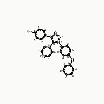 Fc1ccc(-c2nnn(-c3ccc(Oc4ccccc4)cc3)c2-c2ccncc2)cc1